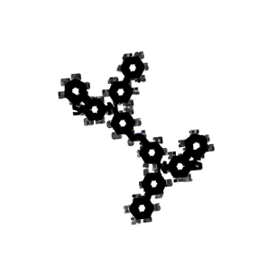 C(=C\c1ccc(N(c2ccc(-c3ccccc3)cc2)c2ccc3sc4ccccc4c3c2)cc1)/c1ccc(N(c2ccc(-c3ccccc3)cc2)c2ccc3sc4ccccc4c3c2)cc1